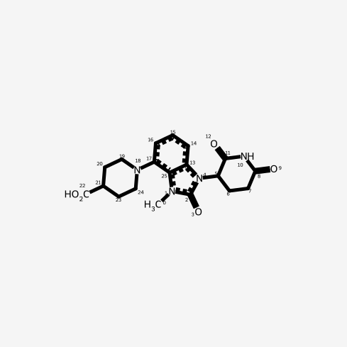 Cn1c(=O)n(C2CCC(=O)NC2=O)c2cccc(N3CCC(C(=O)O)CC3)c21